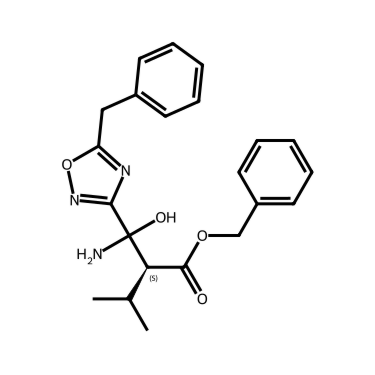 CC(C)[C@H](C(=O)OCc1ccccc1)C(N)(O)c1noc(Cc2ccccc2)n1